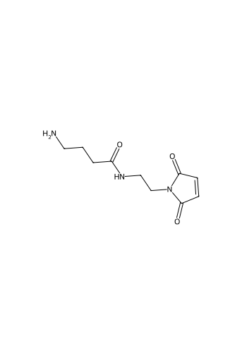 NCCCC(=O)NCCN1C(=O)C=CC1=O